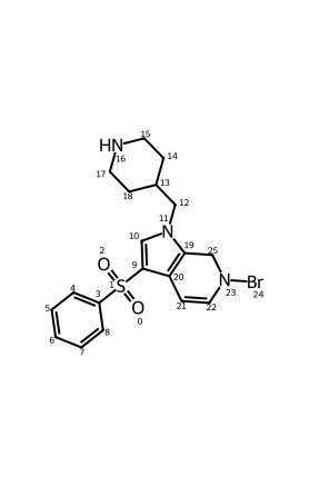 O=S(=O)(c1ccccc1)c1cn(CC2CCNCC2)c2c1C=CN(Br)C2